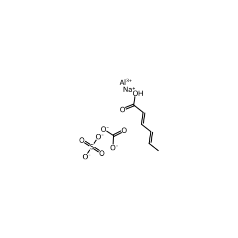 CC=CC=CC(=O)O.O=C([O-])[O-].O=S(=O)([O-])[O-].[Al+3].[Na+]